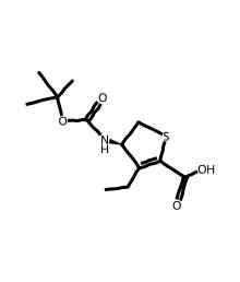 CCC1=C(C(=O)O)SC[C@@H]1NC(=O)OC(C)(C)C